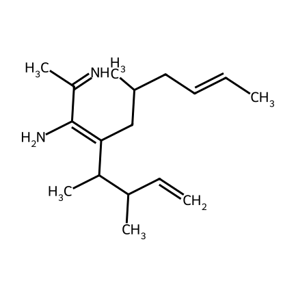 C=CC(C)C(C)/C(CC(C)C/C=C/C)=C(\N)C(C)=N